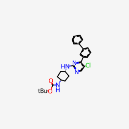 CC(C)(C)OC(=O)N[C@H]1CC[C@H](Nc2ncc(Cl)c(-c3cccc(-c4ccccc4)c3)n2)CC1